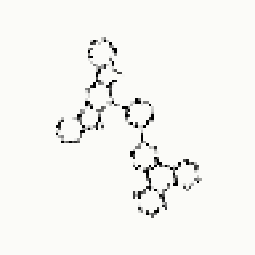 c1cc(-c2ccc3c(c2)c2ccccc2c2nccnc32)cc(-c2c3oc4ccccc4c3cc3c2oc2ccccc23)c1